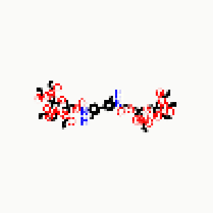 C=CC(=O)OCC(CO)(COCC(=O)Nc1ccc(-c2ccc(NC(=O)OCC(COCC(COC(=O)C=C)(COC(=O)C=C)COC(=O)C=C)(COC(=O)C=C)COC(=O)C=C)c(C)c2)cc1C)COCC(COC(=O)C=C)(COC(=O)C=C)COC(=O)C=C